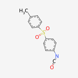 Cc1ccc(S(=O)(=O)c2ccc(N=C=O)cc2)cc1